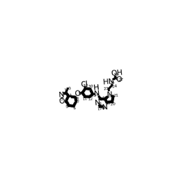 Cc1noc2cccc(Oc3ccc(Nc4ncnc5ccn(CCNC(=O)O)c45)cc3Cl)c12